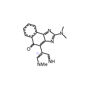 CN/C=C(\C=N)C1=C2N=C(N(C)C)N=C2c2ccccc2C1=O